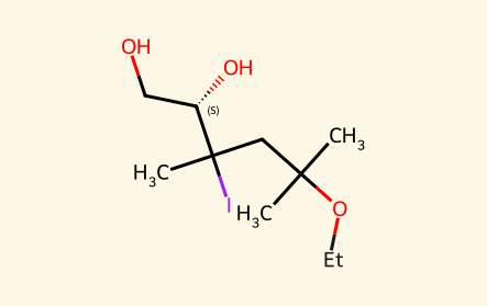 CCOC(C)(C)CC(C)(I)[C@@H](O)CO